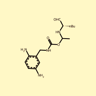 CCCC[C@@H](C=O)NC(C)OC(=O)NCc1cc(N)ccc1N